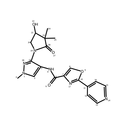 Cn1cc(NC(=O)c2coc(-c3c[c]ncc3)n2)c(N2CC(O)C(C)(C)C2=O)n1